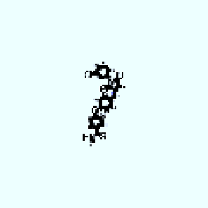 CNC(=O)c1ccc(Oc2ccc(/C=C3/CC(=O)N(c4cccc(Cl)c4)C3=O)cc2)cc1